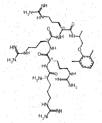 Cc1cccc(C)c1OCC(C)NC(=O)[C@H](CCCNC(=N)N)NC(=O)[C@H](CCCNC(=N)N)NC(=O)[C@H](CCCNC(=N)N)NC(=O)[C@@H](N)CCCNC(=N)N